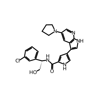 O=C(N[C@H](CO)c1cccc(Cl)c1)c1cc(-c2c[nH]c3ncc(N4CCCC4)cc23)c[nH]1